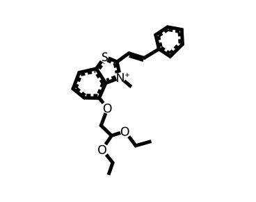 CCOC(COc1cccc2sc(C=Cc3ccccc3)[n+](C)c12)OCC